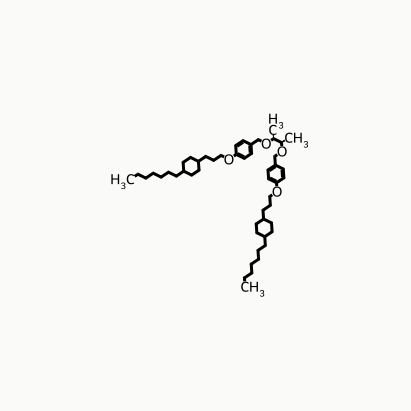 CCCCCCCC1CCC(CCCOc2ccc(CO[C@H](C)[C@@H](C)OCc3ccc(OCCCC4CCC(CCCCCCC)CC4)cc3)cc2)CC1